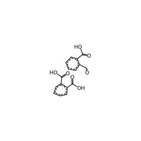 O=C(O)c1ccccc1C(=O)O.O=Cc1ccccc1C(=O)O